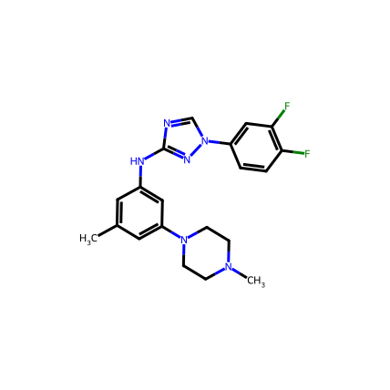 Cc1cc(Nc2ncn(-c3ccc(F)c(F)c3)n2)cc(N2CCN(C)CC2)c1